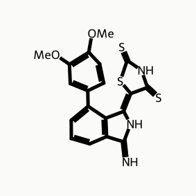 COc1ccc(-c2cccc3c2C(=C2SC(=S)NC2=S)NC3=N)cc1OC